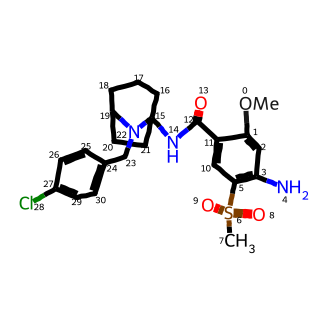 COc1cc(N)c(S(C)(=O)=O)cc1C(=O)NC12CCCC(CC1)N2Cc1ccc(Cl)cc1